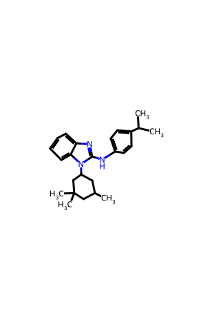 CC1CC(n2c(Nc3ccc(C(C)C)cc3)nc3ccccc32)CC(C)(C)C1